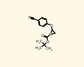 CC(C)(C)OC(=O)N1CC1Oc1ccc(C#N)cc1